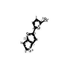 Brc1ccc(-c2cc3sccc3s2)s1